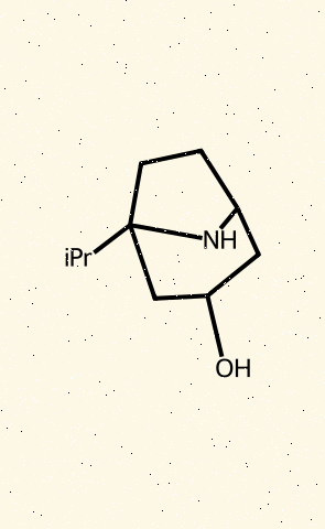 CC(C)C12CCC(CC(O)C1)N2